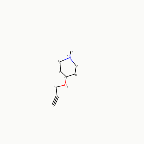 C#CCOC1CCN(C)CC1